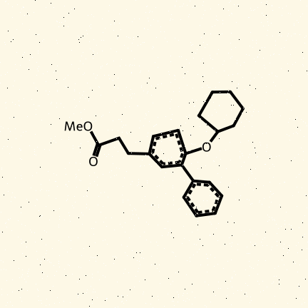 COC(=O)CCc1ccc(OC2CCCCC2)c(-c2ccccc2)c1